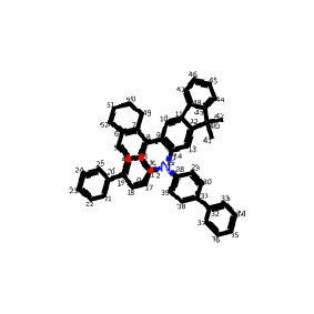 CC(C)c1ccc2c(c1-c1cc3c(cc1N(c1ccc(-c4ccccc4)cc1)c1ccc(-c4ccccc4)cc1)C(C)(C)c1ccccc1-3)CCCC2